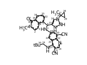 Cn1ccc2c([C@H](Nc3cc(C#N)c4ncc(C#N)c(NCC(C)(C)C)c4c3)C3=CN(C4(C)CC4)NN3)cccc2c1=O